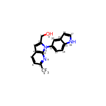 OCc1cc2ccc(C(F)(F)F)nc2n1-c1ccc2[nH]ccc2c1